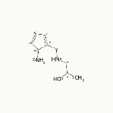 CC(O)CNCC1=CC=CC1N